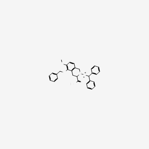 COc1ccc2c(c1OCc1ccccc1)CC(C(=O)O)N(S(=O)(=O)C(c1ccccc1)c1ccccc1)C2